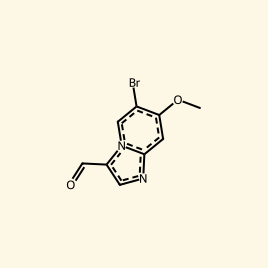 COc1cc2ncc(C=O)n2cc1Br